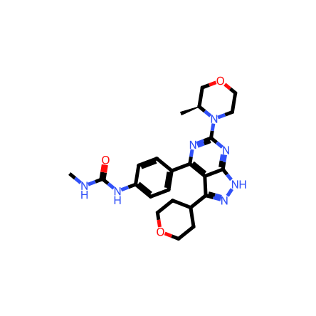 CNC(=O)Nc1ccc(-c2nc(N3CCOC[C@@H]3C)nc3[nH]nc(C4CCOCC4)c23)cc1